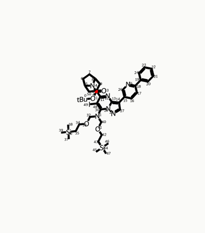 CC(C)(C)OC(=O)N1C2CCC1CC(c1nc3c(-c4ccc(-c5ccccc5)nc4)cnn3c(N(COCC[Si](C)(C)C)COCC[Si](C)(C)C)c1I)C2